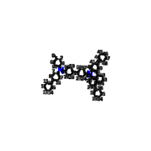 Cc1ccc(N(c2ccc(-c3ccccc3)cc2)c2ccc(-c3ccc(N(c4ccc(-c5ccccc5)cc4)c4ccc(-c5ccccc5)cc4-c4ccccc4)cc3)cc2)cc1